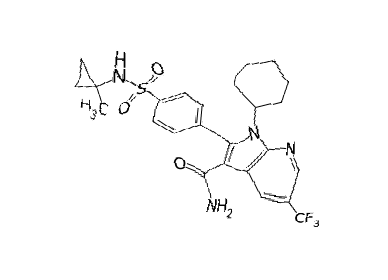 CC1(NS(=O)(=O)c2ccc(-c3c(C(N)=O)c4cc(C(F)(F)F)cnc4n3C3CCCCC3)cc2)CC1